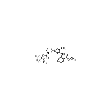 COC(=O)c1ccncc1Nc1nn(C2CCCN(C(=O)OC(C)(C)C)C2)cc1C